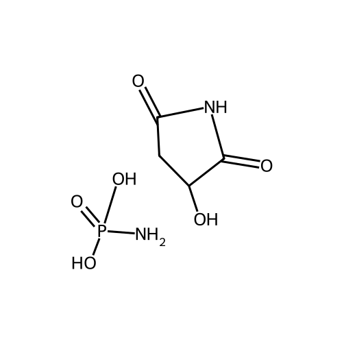 NP(=O)(O)O.O=C1CC(O)C(=O)N1